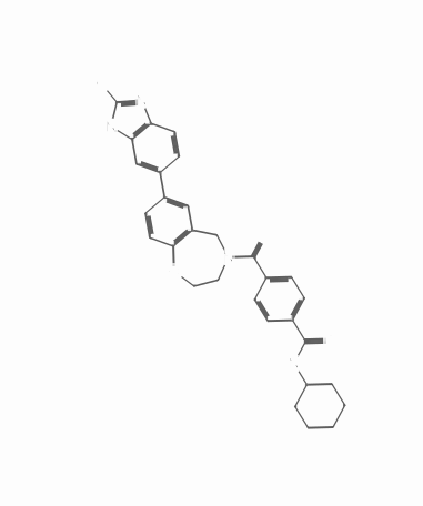 Cc1nc2ccc(-c3ccc4c(c3)CN(C(=O)c3ccc(C(=O)NC5CCCCC5)cc3)CCO4)cc2[nH]1